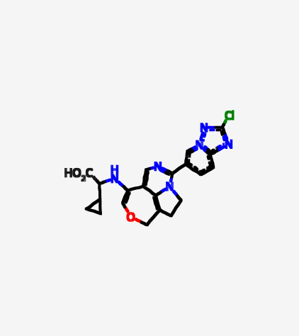 O=C(O)C(NC1=COCC2=C3C1=CN=C(c1ccc4nc(Cl)nn4c1)N3CC2)C1CC1